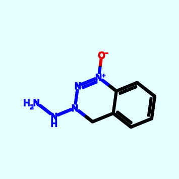 NNN1Cc2ccccc2[N+]([O-])=N1